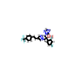 C[C@@H](n1cc(/C=C/c2ccc(C(F)(F)F)cc2)cn1)[C@](O)(Cn1cncn1)c1ccc(F)cc1F